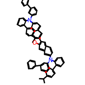 CC(C)c1ccc(-c2ccccc2N(c2cccc(-c3ccccc3)c2)c2ccc3cc4c(cc3c2)oc2cc3cc(N(c5cccc(-c6ccccc6)c5)c5ccccc5-c5ccc(C(C)C)cc5)ccc3cc24)cc1